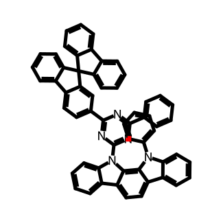 c1ccc(-c2nc(-c3ccc4c(c3)C3(c5ccccc5-c5ccccc53)c3ccccc3-4)nc(-n3c4ccccc4c4ccc5c6ccccc6n(-c6ccccc6)c5c43)n2)cc1